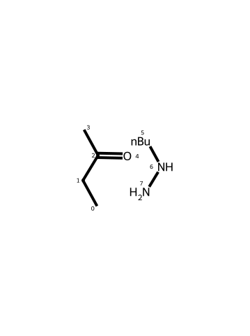 CCC(C)=O.CCCCNN